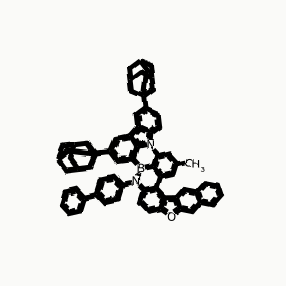 Cc1cc2c3c(c1)-n1c4ccc(C56CC7CC(CC(C7)C5)C6)cc4c4cc(C56CC7CC(CC(C7)C5)C6)cc(c41)B3N(c1ccc(-c3ccccc3)cc1)c1ccc3oc4cc5ccccc5cc4c3c1-2